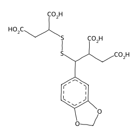 O=C(O)CC(SSC(c1ccc2c(c1)OCO2)C(CC(=O)O)C(=O)O)C(=O)O